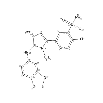 Br.CN1C(c2ccc(Cl)c(S(N)(=O)=O)c2)=CSC1Nc1ccc2c(c1)OCO2